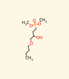 CCCCOCC(O)CCP(=O)(OC)OC